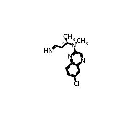 C[C@H](CC=N)N(C)c1cnc2cc(Cl)ccc2n1